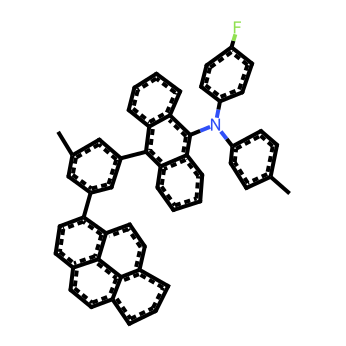 Cc1ccc(N(c2ccc(F)cc2)c2c3ccccc3c(-c3cc(C)cc(-c4ccc5ccc6cccc7ccc4c5c67)c3)c3ccccc23)cc1